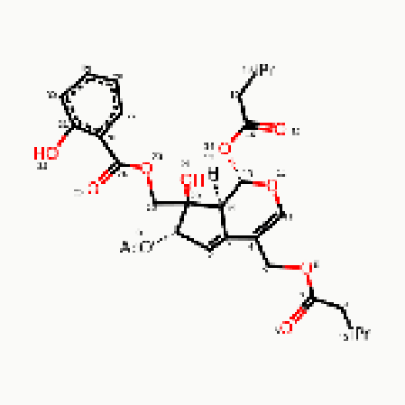 CC(=O)O[C@H]1C=C2C(COC(=O)CC(C)C)=CO[C@@H](OC(=O)CC(C)C)[C@@H]2[C@@]1(O)COC(=O)c1ccccc1O